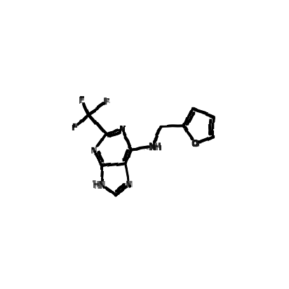 FC(F)(F)c1nc(NCc2ccco2)c2nc[nH]c2n1